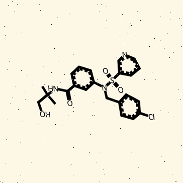 CC(C)(CO)NC(=O)c1cccc(N(Cc2ccc(Cl)cc2)S(=O)(=O)c2cccnc2)c1